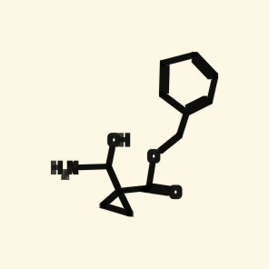 NC(O)C1(C(=O)OCc2ccccc2)CC1